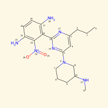 CCCc1cc(N2CCCC(NC)C2)nc(-c2c(N)ccc(N)c2[N+](=O)[O-])n1